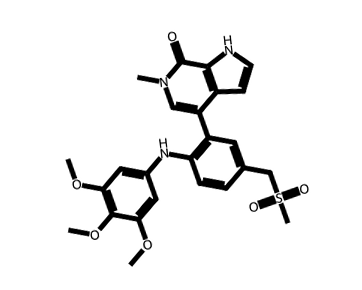 COc1cc(Nc2ccc(CS(C)(=O)=O)cc2-c2cn(C)c(=O)c3[nH]ccc23)cc(OC)c1OC